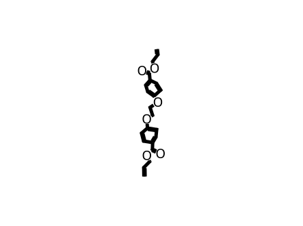 C=CCOC(=O)c1ccc(OCCOc2ccc(C(=O)OCC=C)cc2)cc1